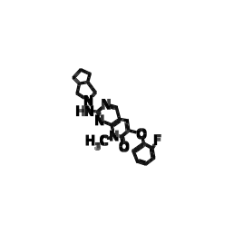 Cn1c(=O)c(Oc2ccccc2F)cc2cnc(NN3CC4CCCC4C3)nc21